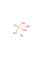 O=P(O)(O)O.[Cr].[Cu]